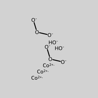 [Co+2].[Co+2].[Co+2].[O-]O[O-].[O-]O[O-].[OH-].[OH-]